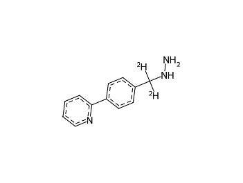 [2H]C([2H])(NN)c1ccc(-c2ccccn2)cc1